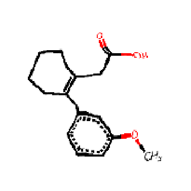 COc1cccc(C2=C(CC(=O)O)CCCC2)c1